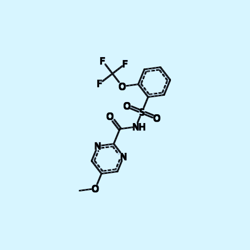 COc1cnc(C(=O)NS(=O)(=O)c2ccccc2OC(F)(F)F)nc1